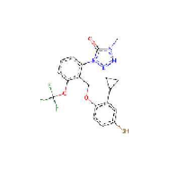 Cn1nnn(-c2cccc(OC(F)(F)F)c2COc2ccc(S)cc2C2CC2)c1=O